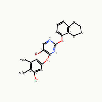 COc1cc(Oc2nc(Oc3cccc4c3CCCC4)ncc2Br)cc(O)c1OC